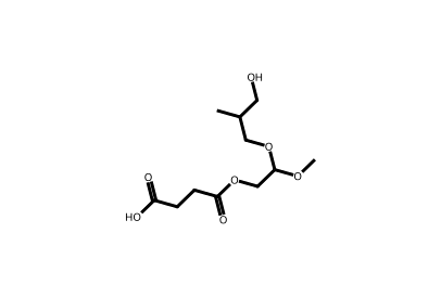 COC(COC(=O)CCC(=O)O)OCC(C)CO